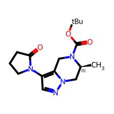 C[C@H]1Cn2ncc(N3CCCC3=O)c2CN1C(=O)OC(C)(C)C